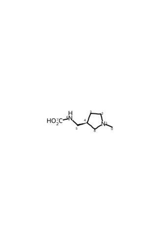 CN1CC[C@H](CNC(=O)O)C1